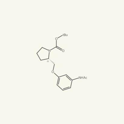 CC(=O)Nc1cccc(OC[C@@H]2CCCN2C(=O)OC(C)(C)C)c1